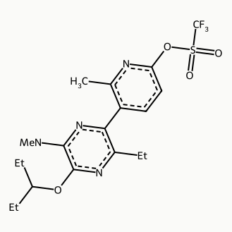 CCc1nc(OC(CC)CC)c(NC)nc1-c1ccc(OS(=O)(=O)C(F)(F)F)nc1C